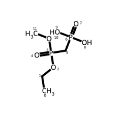 CCOP(=O)(CP(=O)(O)O)OC